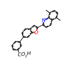 Cc1ccc(C)c2nc(-c3cc4ccc(-c5cccc(C(=O)O)c5)cc4o3)ccc12